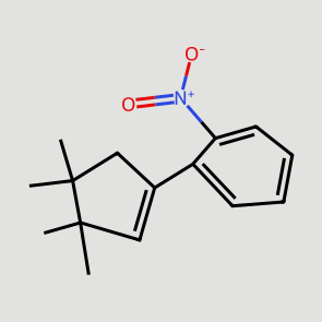 CC1(C)C=C(c2ccccc2[N+](=O)[O-])CC1(C)C